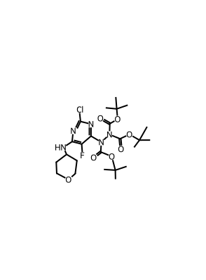 CC(C)(C)OC(=O)N(C(=O)OC(C)(C)C)N(C(=O)OC(C)(C)C)c1nc(Cl)nc(NC2CCOCC2)c1F